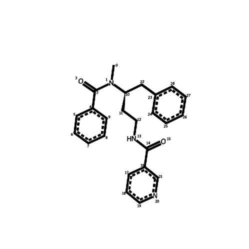 CN(C(=O)c1ccccc1)[C@H](CCNC(=O)c1cccnc1)Cc1ccccc1